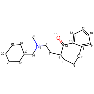 CN(CCC1CCCc2ccccc2C1=O)CC1CCCCC1